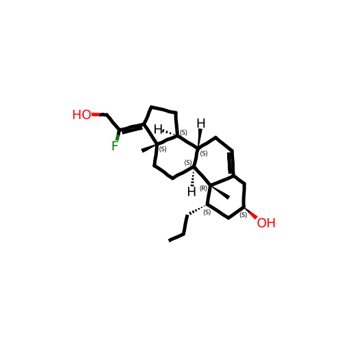 CCC[C@H]1C[C@H](O)CC2=CC[C@@H]3[C@H](CC[C@]4(C)C(=C(F)CO)CC[C@@H]34)[C@]21C